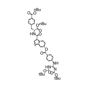 CCCCOC(=O)c1ccc(C[C@H](NC(=O)c2csc3cc(OC(=O)c4ccc(N/C(=N/C(=O)OC(C)(C)C)NC(=O)OC(C)(C)C)cc4)ccc23)C(=O)OCCCC)cc1